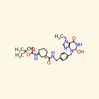 CCn1cnc2c1C(=O)NC(O)N2Cc1ccc(CNC(=O)[C@@H]2CCC[C@H](NC(=O)OC(C)(C)C)C2)cc1